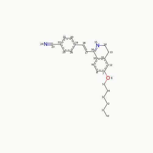 CCCCCCOc1ccc2c(c1)CCN=C2C=Cc1ccc(C#N)cc1